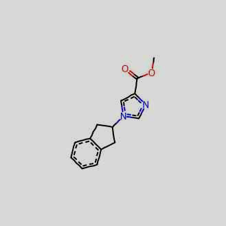 COC(=O)c1cn(C2Cc3ccccc3C2)cn1